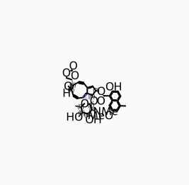 CN[C@H]1[C@@H](O[C@@H]2/C3=C/C#C[C@H]4O[C@@]4(C4COC(=O)O4)C#CC3=C[C@H]2OC(=O)c2c(O)ccc3c(C)cc(OC)cc23)O[C@H](C)[C@H](O)[C@@H]1O